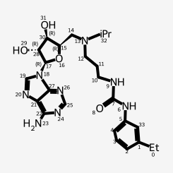 CCc1cccc(NC(=O)NCCCN(C[C@H]2O[C@@H](n3cnc4c(N)ncnc43)[C@H](O)[C@H]2O)C(C)C)c1